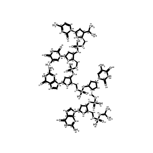 Cc1cn([C@H]2CC(OP(=O)(S)OC[C@H]3O[C@@H](n4cnc5c(=O)[nH]c(N)nc54)CC3OP(=O)(S)OC[C@H]3O[C@@H](n4cc(C)c(=O)[nH]c4=O)CC3OP(=O)(S)OC[C@H]3O[C@@H](n4ccc(N)nc4=O)CC3C(C)C)[C@@H](COP(=O)(S)OC3C[C@H](n4cnc5c(=O)[nH]c(N)nc54)O[C@@H]3COP(=O)(S)OC(C)C)C2)c(=O)[nH]c1=O